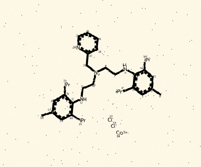 Cc1cc(C(C)C)c(NCCN(CCNc2c(C(C)C)cc(C)cc2C(C)C)Cc2ccccn2)c(C(C)C)c1.[Cl-].[Cl-].[Co+2]